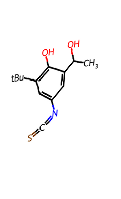 CC(O)c1cc(N=C=S)cc(C(C)(C)C)c1O